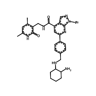 Cc1cc(C)c(CNC(=O)c2cc(-c3ccc(CNC4CCCCC4N)cc3)nc3c2cnn3C(C)C)c(=O)[nH]1